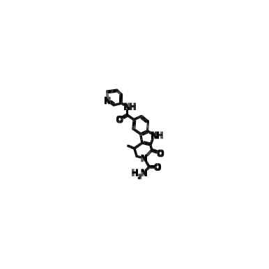 CC1CN(C(N)=O)C(=O)c2[nH]c3ccc(C(=O)Nc4cccnc4)cc3c21